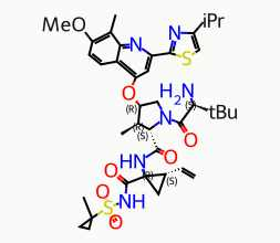 C=C[C@@H]1C[C@]1(NC(=O)[C@@H]1[C@@H](C)[C@@H](Oc2cc(-c3nc(C(C)C)cs3)nc3c(C)c(OC)ccc23)CN1C(=O)[C@@H](N)C(C)(C)C)C(=O)NS(=O)(=O)C1(C)CC1